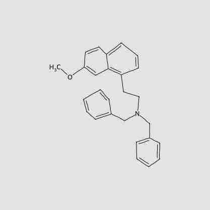 COc1ccc2cccc(CCN(Cc3ccccc3)Cc3ccccc3)c2c1